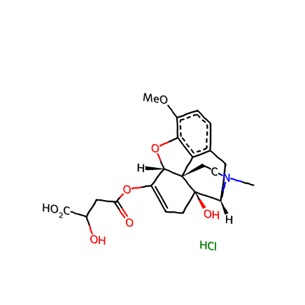 COc1ccc2c3c1O[C@H]1C(OC(=O)CC(O)C(=O)O)=CC[C@@]4(O)[C@@H](C2)N(C)CC[C@]314.Cl